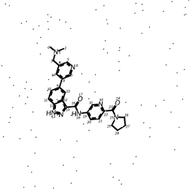 CN(C)Cc1cncc(-c2ccc3[nH]nc(C(=O)Nc4ccc(C(=O)N5CCCC5)nc4)c3c2)c1